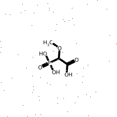 COC(C(=O)O)P(=O)(O)O